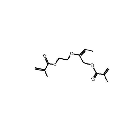 C=C(C)C(=O)OCCOC(=CC)COC(=O)C(=C)C